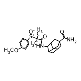 COc1ccc([S+]([O-])C(C)(C)C(=O)NC2C3CC4CC2CC(C(N)=O)(C4)C3)cc1